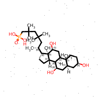 C[C@H](CC(C)(C)CC(C)(C)CP(=O)(O)O)[C@H]1CC[C@H]2[C@@H]3[C@H](O)C[C@@H]4C[C@H](O)CC[C@]4(C)[C@H]3C[C@H](O)[C@]12C